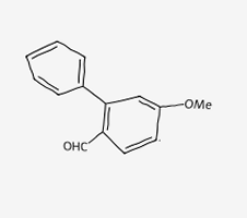 COc1[c]cc(C=O)c(-c2ccccc2)c1